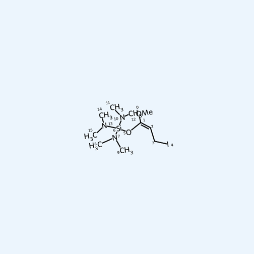 COC(=CCI)O[Si](N(C)C)(N(C)C)N(C)C